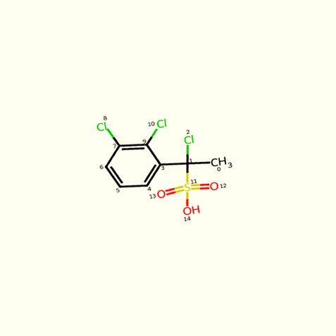 CC(Cl)(c1cccc(Cl)c1Cl)S(=O)(=O)O